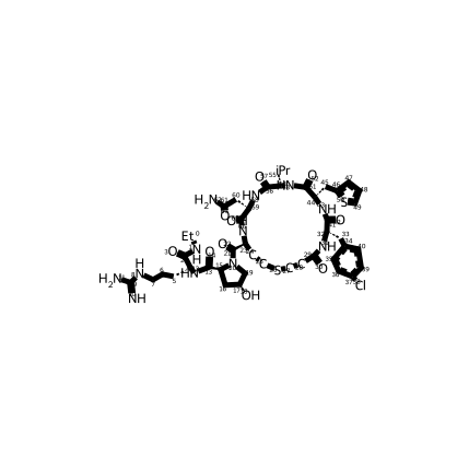 CCNC(=O)[C@@H](CCCNC(=N)N)NC(=O)[C@@H]1C[C@@H](O)CN1C(=O)[C@@H]1CCSCCC(=O)N[C@@H](Cc2ccc(Cl)cc2)C(=O)N[C@@H](Cc2cccs2)C(=O)N[C@@H](C(C)C)C(=O)N[C@@H](CC(N)=O)C(=O)N1